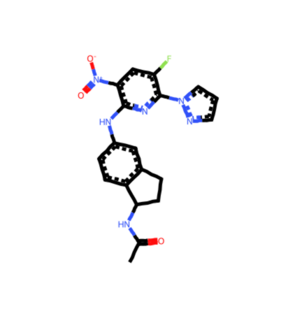 CC(=O)NC1CCc2cc(Nc3nc(-n4cccn4)c(F)cc3[N+](=O)[O-])ccc21